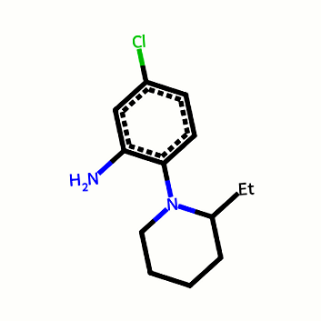 CCC1CCCCN1c1ccc(Cl)cc1N